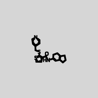 O=C(NC1=CC2=C(CCC2)CC1)c1ccsc1SCc1ccncc1